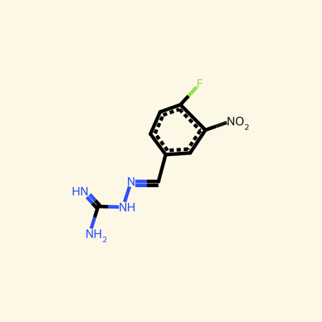 N=C(N)N/N=C/c1ccc(F)c([N+](=O)[O-])c1